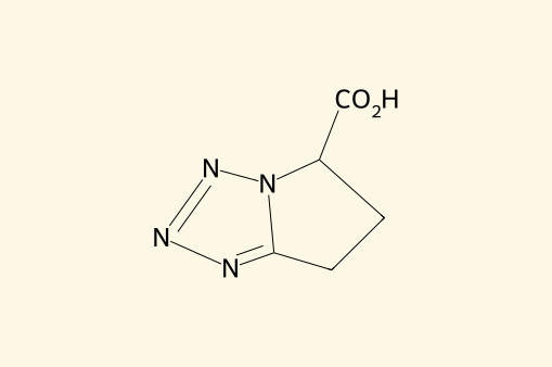 O=C(O)C1CCc2nnnn21